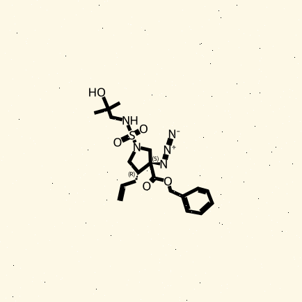 C=CC[C@@H]1CN(S(=O)(=O)NCC(C)(C)O)C[C@]1(N=[N+]=[N-])C(=O)OCc1ccccc1